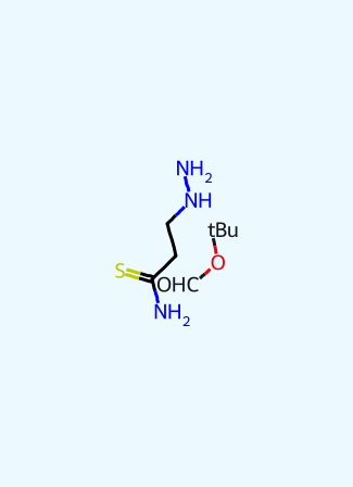 CC(C)(C)OC=O.NNCCC(N)=S